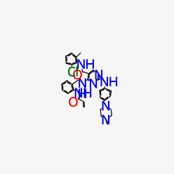 C=CC(=O)Nc1ccccc1CNc1nc(Nc2ccc(N3CCN(C)CC3)cc2)ncc1C(=O)Nc1c(C)cccc1Cl